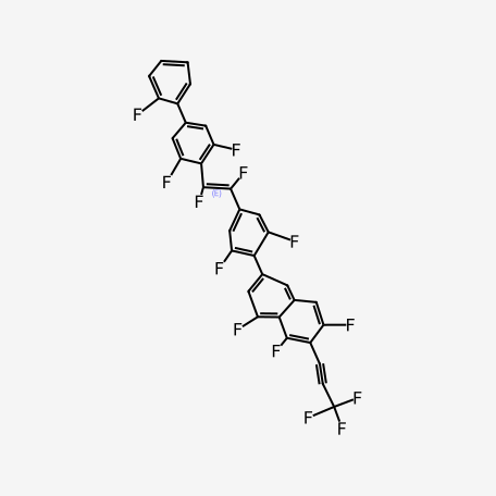 F/C(=C(/F)c1c(F)cc(-c2ccccc2F)cc1F)c1cc(F)c(-c2cc(F)c3c(F)c(C#CC(F)(F)F)c(F)cc3c2)c(F)c1